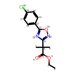 CCOC(=O)C(C)(C)c1noc(-c2ccc(Cl)cc2)n1